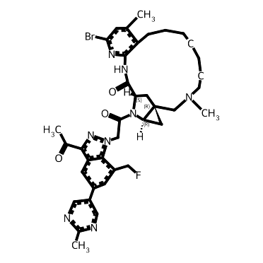 CC(=O)c1nn(CC(=O)N2[C@H]3C[C@]4(C[C@@H]24)CN(C)CCCCCCCc2c(C)cc(Br)nc2NC3=O)c2c(CF)cc(-c3cnc(C)nc3)cc12